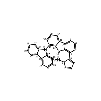 CNC1C=CC=C1c1cccc2c1sc1c(-n3c4ccccc4c4ccccc43)cccc12